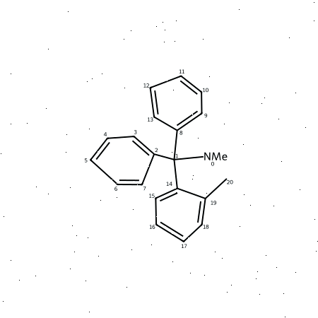 CNC(c1ccccc1)(c1ccccc1)c1ccccc1C